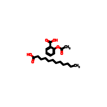 CC(=O)Oc1ccccc1C(=O)O.CCCCCCCCCCCC(=O)O